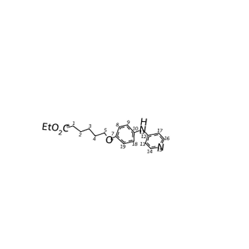 CCOC(=O)CCCCCOc1ccc(Nc2ccncc2)cc1